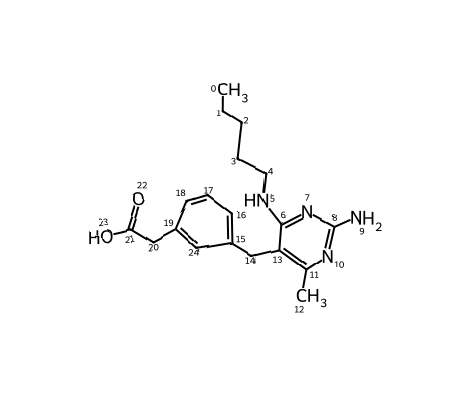 CCCCCNc1nc(N)nc(C)c1Cc1cccc(CC(=O)O)c1